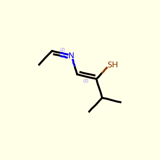 C/C=N\C=C(/S)C(C)C